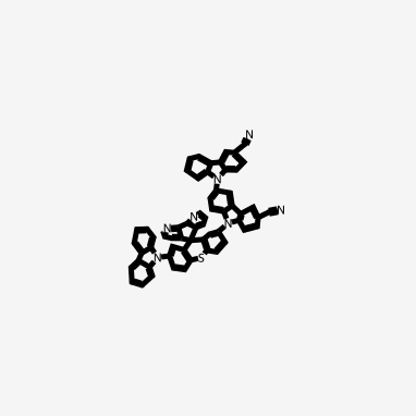 N#Cc1ccc2c(c1)c1ccccc1n2-c1ccc2c(c1)c1cc(C#N)ccc1n2-c1ccc2c(c1)C1(c3cc(-n4c5ccccc5c5ccccc54)ccc3S2)c2cccnc2-c2ncccc21